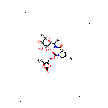 CCC[C@H]1C[C@@H](C(=O)NC(C(C)C)[C@H]2O[C@H](CCC)[C@H](O)[C@@H](O)[C@H]2O)N(C(=O)OCc2oc(=O)oc2C)C1